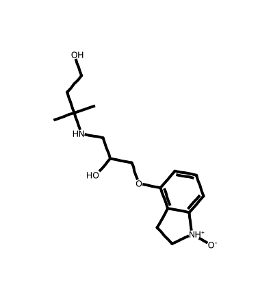 CC(C)(CCO)NCC(O)COc1cccc2c1CC[NH+]2[O-]